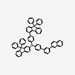 c1ccc(C2(c3ccccc3)c3ccccc3-c3ccc(N(c4ccc(-c5cccc(-c6ccc7ccccc7c6)c5)cc4)c4ccc(-c5cccc6c5-c5ccccc5C6(c5ccccc5)c5ccccc5)cc4)cc32)cc1